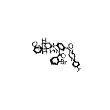 O=C(Nc1cc(C(=O)N2CCN(c3ccc(F)cc3)CC2)ccc1N1C[C@H]2C[C@@H](C1)c1cccc(=O)n1C2)c1ccccc1Br